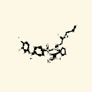 CCCNC(=O)CCN(C1(C(=O)NO)CCCC1)S(=O)(=O)c1ccc(Oc2ccc(F)cc2)cc1